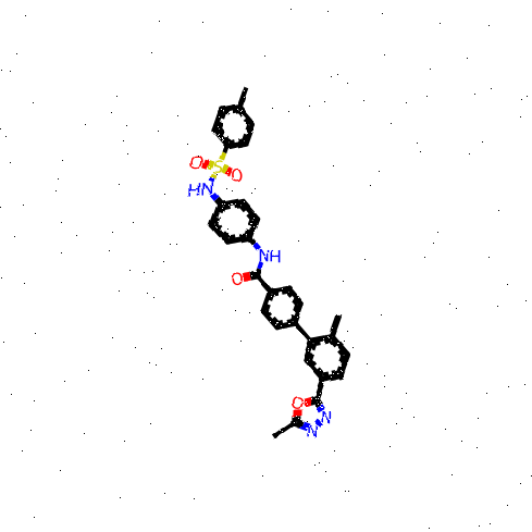 Cc1ccc(S(=O)(=O)Nc2ccc(NC(=O)c3ccc(-c4cc(-c5nnc(C)o5)ccc4C)cc3)cc2)cc1